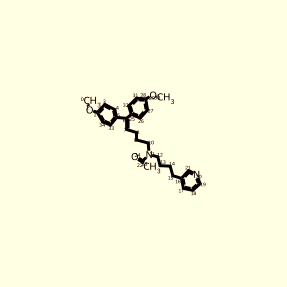 COc1ccc(C(=CCCCN(CCCCc2cccnc2)C(C)=O)c2ccc(OC)cc2)cc1